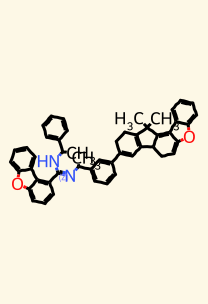 CC(/N=C(\NC(C)c1ccccc1)c1cccc2oc3ccccc3c12)c1cccc(C2=CC3=C(CC2)C(C)(C)C2=c4c(oc5ccccc45)=CCC32)c1